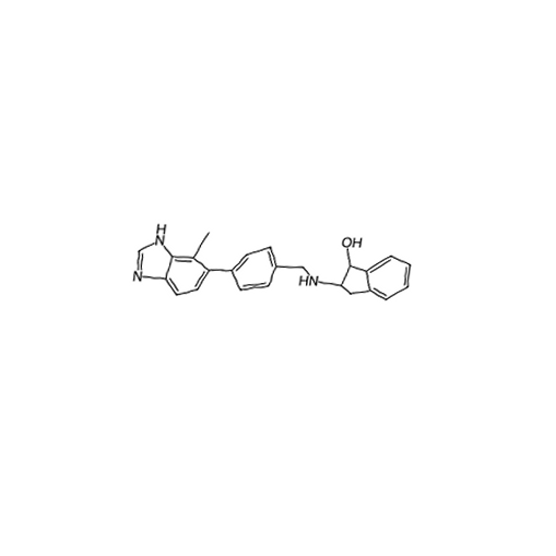 Cc1c(-c2ccc(CNC3Cc4ccccc4C3O)cc2)ccc2nc[nH]c12